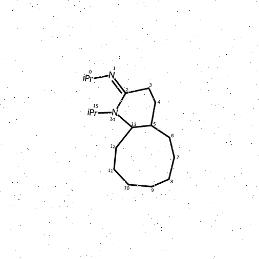 CC(C)/N=C1/CCC2CCCCCCCC2N1C(C)C